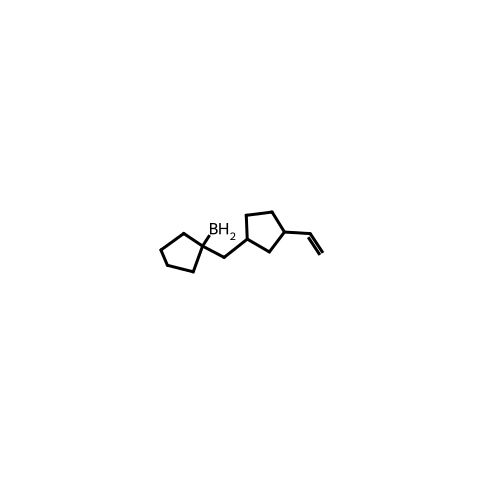 BC1(CC2CCC(C=C)C2)CCCC1